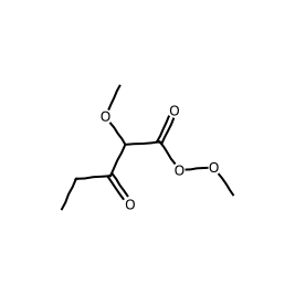 CCC(=O)C(OC)C(=O)OOC